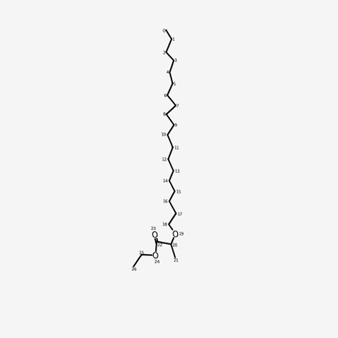 CCCCCCCCCCCCCCCCCCCOC(C)C(=O)OCC